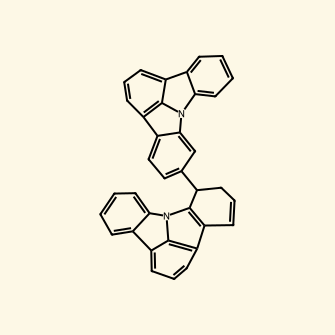 C1=Cc2c(n3c4ccccc4c4cccc2c43)C(c2ccc3c4cccc5c6ccccc6n(c3c2)c54)C1